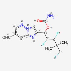 CC(C)(CF)C(F)C(F)C(OC(N)=O)c1cn2ncc(C=O)cc2n1